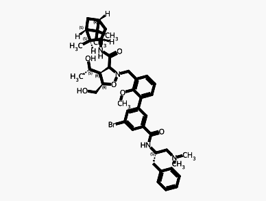 COc1c(CN2O[C@@H](CO)[C@@H]([C@H](C)O)C2C(=O)N[C@H]2C[C@H]3C[C@@H]([C@@H]2C)C3(C)C)cccc1-c1cc(Br)cc(C(=O)N[C@@H](Cc2ccccc2)CN(C)C)c1